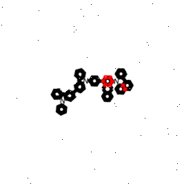 c1ccc(-c2ccccc2N(c2ccccc2)c2ccc(-c3ccc(-n4c5ccccc5c5cc(-c6ccc7c(c6)c6ccccc6n7-c6ccccc6)ccc54)cc3)c3c2C2c4ccccc4C3c3ccccc32)cc1